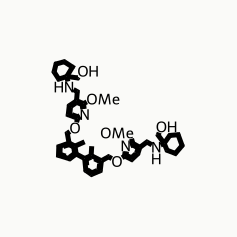 COc1nc(OCc2cccc(-c3cccc(COc4ccc(CNC5(CO)CCCCC5)c(OC)n4)c3C)c2C)ccc1CNC1(CO)CCCCC1